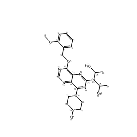 COc1ccccc1COc1ncnc2c(N3CC[S+]([O-])CC3)nc(N(C(C)O)C(C)O)nc12